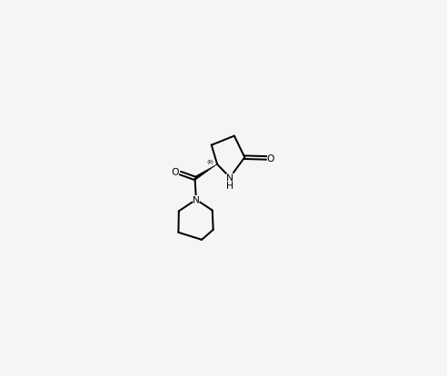 O=C1CC[C@H](C(=O)N2CCCCC2)N1